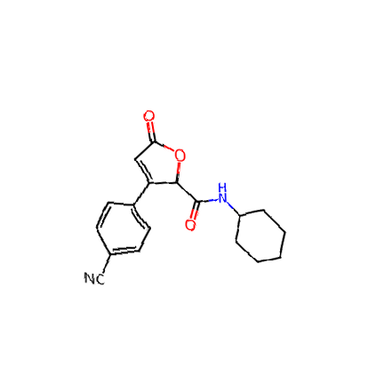 N#Cc1ccc(C2=CC(=O)OC2C(=O)NC2CCCCC2)cc1